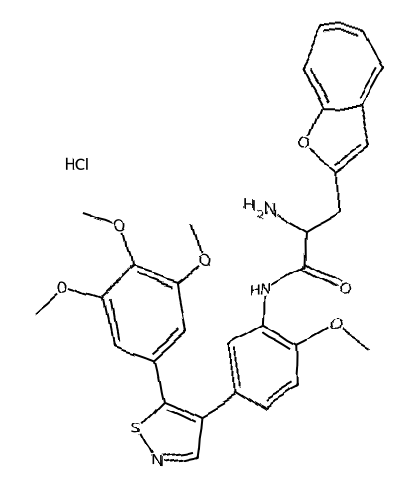 COc1ccc(-c2cnsc2-c2cc(OC)c(OC)c(OC)c2)cc1NC(=O)C(N)Cc1cc2ccccc2o1.Cl